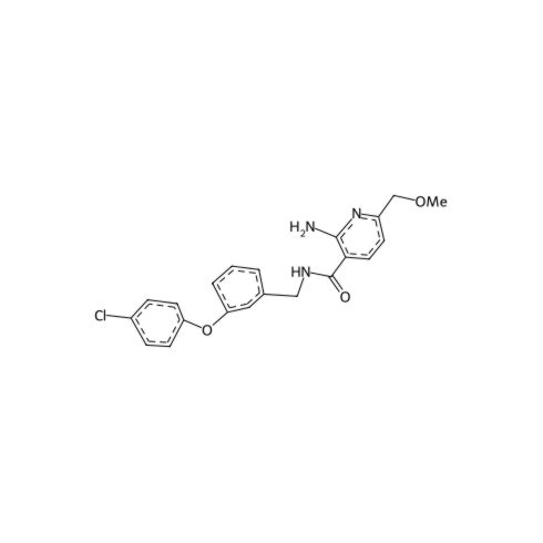 COCc1ccc(C(=O)NCc2cccc(Oc3ccc(Cl)cc3)c2)c(N)n1